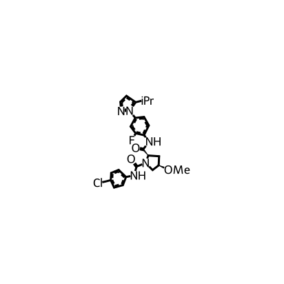 CO[C@@H]1C[C@H](C(=O)Nc2ccc(-n3nccc3C(C)C)cc2F)N(C(=O)Nc2ccc(Cl)cc2)C1